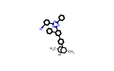 C[C@@H]1C[C@@H]2C[C@H](C)CC(c3ccc(-c4ccc(-c5nc(-c6ccccc6)nc(-c6cccc(C#N)c6)n5)c(-c5ccccc5)c4)cc3)(C1)C2